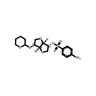 Cc1ccc(S(=O)(=O)O[C@@H]2CO[C@H]3[C@@H]2OC[C@@H]3OC2CCCCO2)cc1